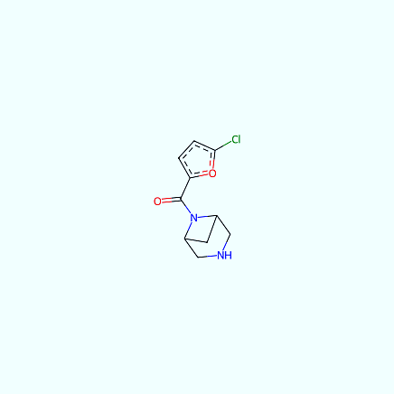 O=C(c1ccc(Cl)o1)N1C2CNCC1C2